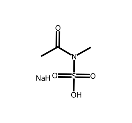 CC(=O)N(C)S(=O)(=O)O.[NaH]